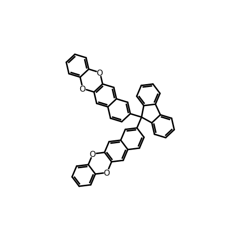 c1ccc2c(c1)Oc1cc3ccc(C4(c5ccc6cc7c(cc6c5)Oc5ccccc5O7)c5ccccc5-c5ccccc54)cc3cc1O2